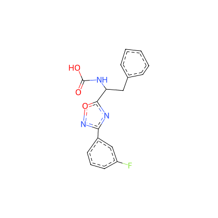 O=C(O)NC(Cc1ccccc1)c1nc(-c2cccc(F)c2)no1